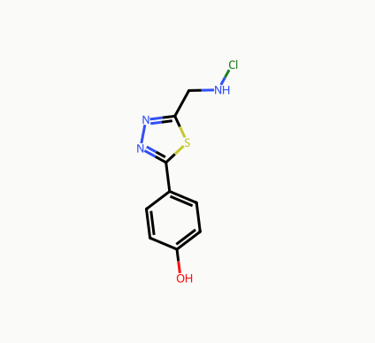 Oc1ccc(-c2nnc(CNCl)s2)cc1